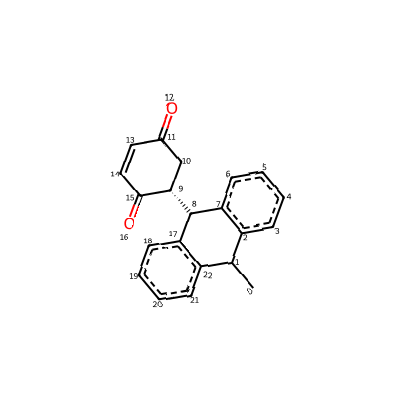 CC1c2ccccc2C([C@H]2CC(=O)C=CC2=O)c2ccccc21